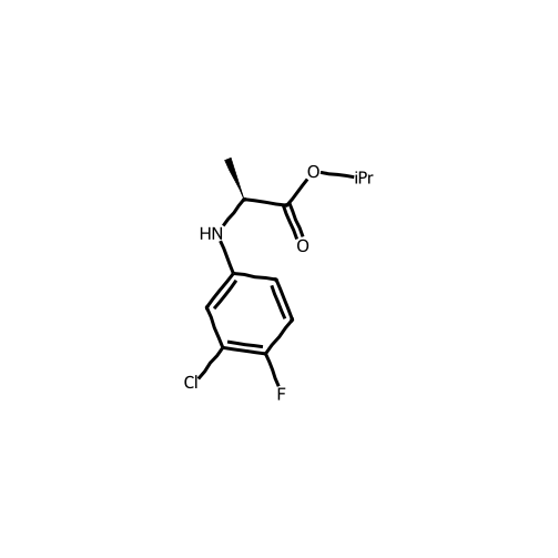 CC(C)OC(=O)[C@H](C)Nc1ccc(F)c(Cl)c1